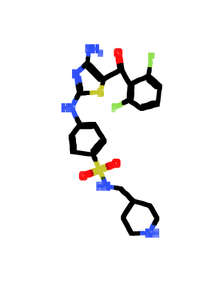 Nc1nc(Nc2ccc(S(=O)(=O)NCC3CCNCC3)cc2)sc1C(=O)c1c(F)cccc1F